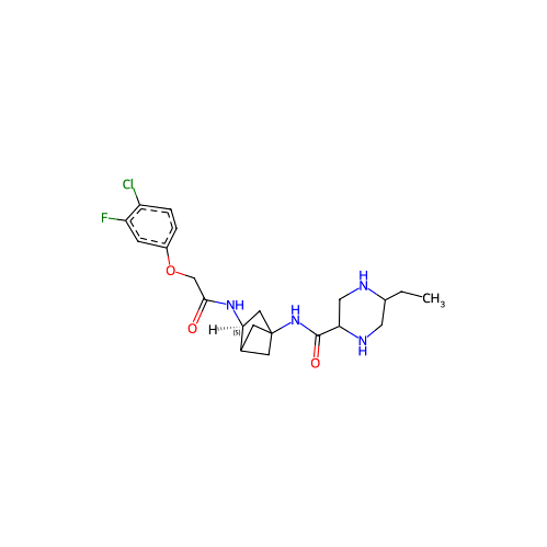 CCC1CNC(C(=O)NC23CC(C2)[C@@H](NC(=O)COc2ccc(Cl)c(F)c2)C3)CN1